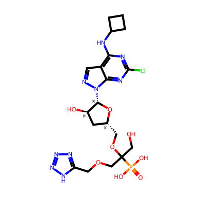 O=P(O)(O)C(CO)(COCc1nnn[nH]1)OC[C@@H]1C[C@@H](O)[C@H](n2ncc3c(NC4CCC4)nc(Cl)nc32)O1